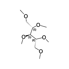 COC[C@H](OC)[C@H](OC)[C@@H](COC)OC